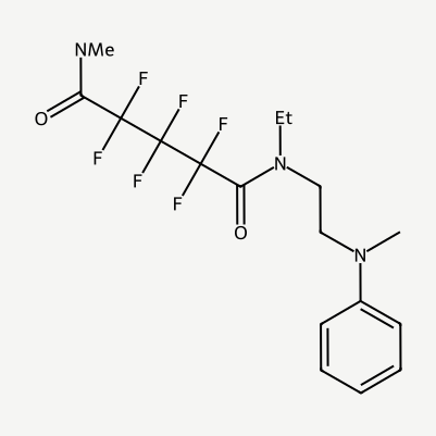 CCN(CCN(C)c1ccccc1)C(=O)C(F)(F)C(F)(F)C(F)(F)C(=O)NC